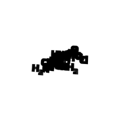 NN=NC1=C(Cl)N=C(C(=O)NC2NCC3(CCN(C(=O)c4ccc(Cl)cc4)CC3)N2)C(N=NN)N1